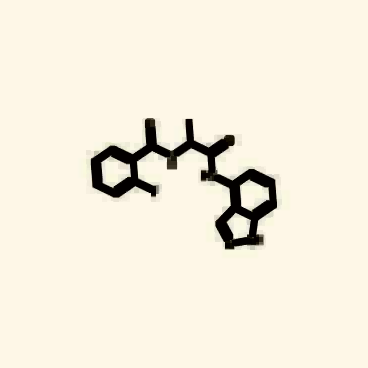 CC(NC(=O)c1ccccc1F)C(=O)Nc1cccc2[nH]ncc12